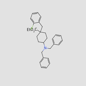 CCOC(=O)C1(Cc2ccccc2F)CCC(N(Cc2ccccc2)Cc2ccccc2)CC1